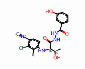 [C-]#[N+]c1ccc(N[C@@H](C(=O)NNC(=O)c2cccc(O)c2)[C@@H](C)O)c(C)c1Cl